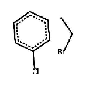 CCBr.Clc1ccccc1